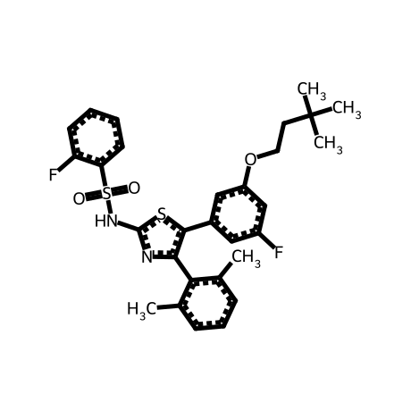 Cc1cccc(C)c1-c1nc(NS(=O)(=O)c2ccccc2F)sc1-c1cc(F)cc(OCCC(C)(C)C)c1